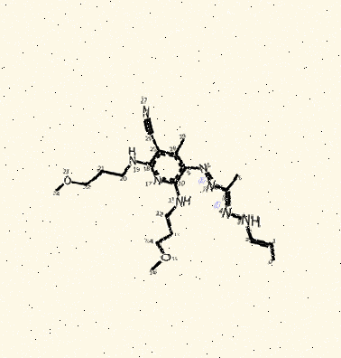 CC=CN/N=C(C)/N=N/c1c(NCCCOC)nc(NCCCOC)c(C#N)c1C